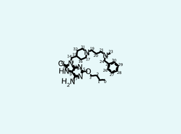 CCCCOc1nc(N)c2[nH]c(=O)n(CC3CCN(CCCN(C)Cc4ccccc4)CC3)c2n1